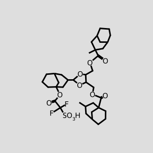 CC1CC2CCCC(C(=O)OCC3OC(C4CC5CCCC(OC(=O)C(F)(F)S(=O)(=O)O)(C5)C4)OC3COC(=O)C3(C)CC4CCCC(C4)C3)(C1)C2